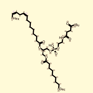 CCCCCC/C=C\C/C=C\CCCCCCCC(=O)O[C@H](COC(=O)CCCCCCCCCCCCCCCCC)COP(=O)(O)OCCNC(=O)CCC(=O)C(C)(C)C